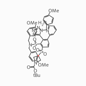 COc1ccc(CN(Cc2ccc(OC)cc2)S(=O)(=O)c2c(S(=O)(=O)C3CN(C(=O)OC(C)(C)C)C3)ccc(-c3cccc(N)n3)c2-c2nnnn2Cc2ccc(OC)cc2)cc1